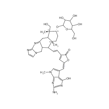 Cn1cc(/C=C2C=C(/C=C/C3C4Cn5ccnc5N=C4CC4[C@]3(C)CC[C@@H](OC3OC(CO)C(O)C(O)C3O)[C@@]4(C)CO)C(=O)O\2)c2c(O)nc(N)nc21